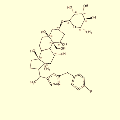 CC(c1cn(Cc2ccc(F)cc2)nn1)C1CC[C@]2(O)C3CC[C@]4(O)C[C@@H](O[C@@H]5O[C@@H](C)[C@H](O)[C@@H](O)[C@H]5O)C[C@@H](O)[C@]4(CO)C3[C@H](O)C[C@]12C